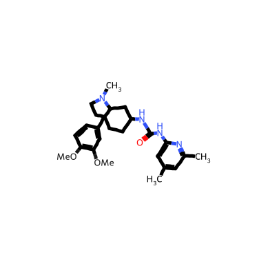 COc1ccc(C23CCC(NC(=O)Nc4cc(C)cc(C)n4)CC2N(C)CC3)cc1OC